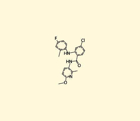 COc1ccc(NC(=O)c2ccc(Cl)cc2Nc2ccc(F)cc2C)c(C)n1